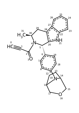 C#CC(=O)N1[C@@H](c2ccc(N3C4CCC3COC4)cc2)c2[nH]c3ccccc3c2C[C@@H]1C